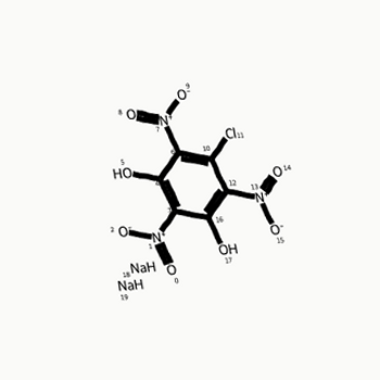 O=[N+]([O-])c1c(O)c([N+](=O)[O-])c(Cl)c([N+](=O)[O-])c1O.[NaH].[NaH]